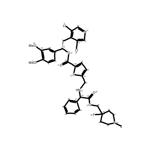 COc1ccc([C@H](Cc2c(Cl)cncc2Cl)OC(=O)c2ccc(CNC(C(=O)OCC3(F)CCN(C)CC3)c3ccccc3)s2)cc1OC